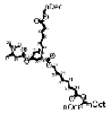 CCCCCCCCCCCOC(=O)CCCCCN1CC(OC(=O)CC(C)N(C)C)C[C@H]1C(=O)OCCCCCCCC(=O)OC(CCCCCCCC)CCCCCCCC